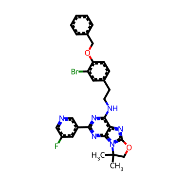 CC1(C)COc2nc3c(NCCc4ccc(OCc5ccccc5)c(Br)c4)nc(-c4cncc(F)c4)nc3n21